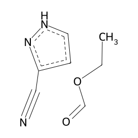 CCOC=O.N#Cc1cc[nH]n1